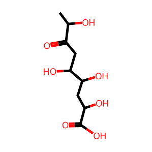 CC(O)C(=O)CC(O)C(O)CC(O)C(=O)O